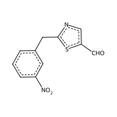 O=Cc1cnc(Cc2cccc([N+](=O)[O-])c2)s1